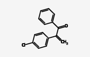 C=C(C(=O)c1ccccc1)c1ccc(Cl)cc1